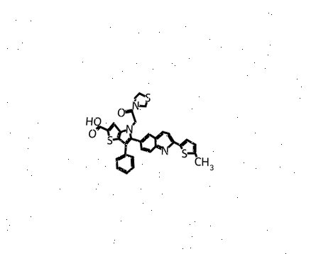 Cc1ccc(-c2ccc3cc(-c4c(-c5ccccc5)c5sc(C(=O)O)cc5n4CC(=O)N4CCSC4)ccc3n2)s1